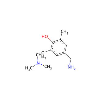 CN(C)C.Cc1cc(CN)cc(C)c1O